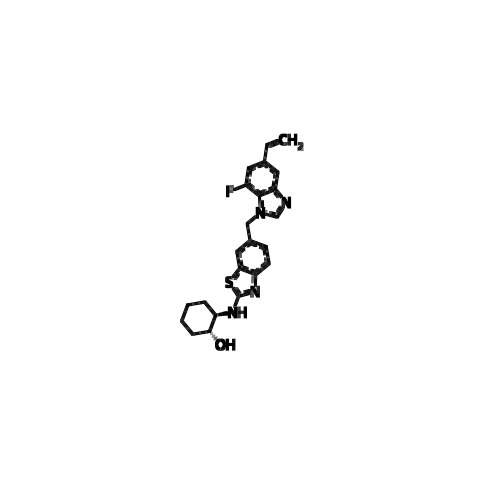 C=Cc1cc(F)c2c(c1)ncn2Cc1ccc2nc(N[C@@H]3CCCC[C@H]3O)sc2c1